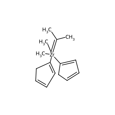 C[C](C)=[Zr]([CH3])([CH3])([C]1=CC=CC1)[C]1=CC=CC1